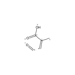 C=C(C)C(=O)O.C=O